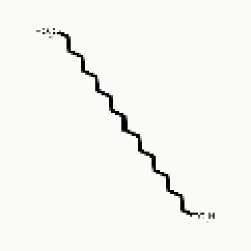 O=C(O)CCCCCCCCC=CCCCCCCCCC(=O)O